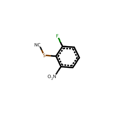 N#CSc1c(F)cccc1[N+](=O)[O-]